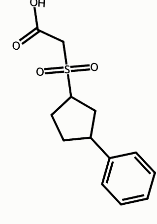 O=C(O)CS(=O)(=O)C1CCC(c2ccccc2)C1